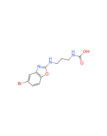 O=C(O)NCCCNc1nc2cc(Br)ccc2o1